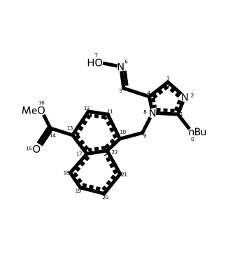 CCCCc1ncc(C=NO)n1Cc1ccc(C(=O)OC)c2ccccc12